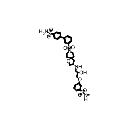 CNS(=O)(=O)c1cccc(OCC(O)CN[C@@H]2COC3(CCN(S(=O)(=O)c4cccc(-c5ccc(S(N)(=O)=O)cc5)c4)CC3)C2)c1